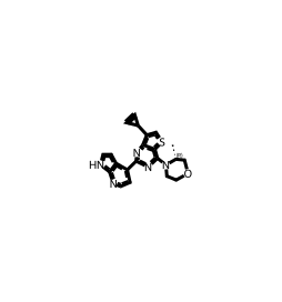 C[C@@H]1COCCN1c1nc(-c2ccnc3[nH]ccc23)nc2c(C3C#C3)csc12